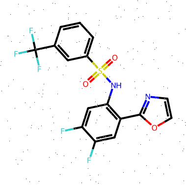 O=S(=O)(Nc1cc(F)c(F)cc1-c1ncco1)c1cccc(C(F)(F)F)c1